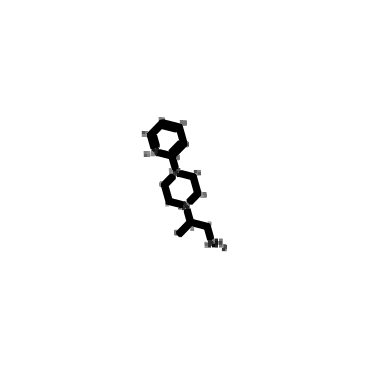 CC(CN)N1CCN(c2ccccn2)CC1